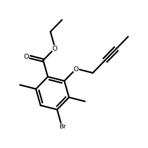 CC#CCOc1c(C)c(Br)cc(C)c1C(=O)OCC